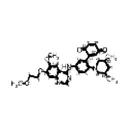 COCCOc1cc2ncnc(Nc3ccc(N4CC(C)CC(C)C4)c(C4=CC(=O)C=CC4=O)c3)c2cc1OC